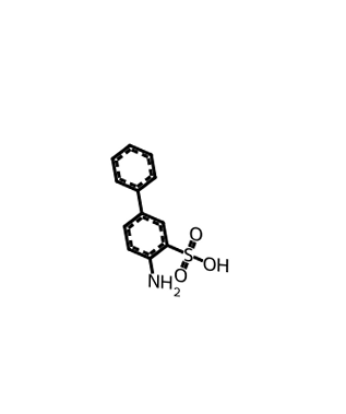 Nc1ccc(-c2ccccc2)cc1S(=O)(=O)O